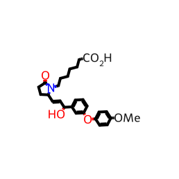 COc1ccc(Oc2cccc(C(O)C=CC3CCC(=O)N3CCCCCCC(=O)O)c2)cc1